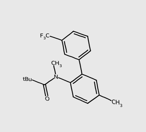 Cc1ccc(N(C)C(=O)C(C)(C)C)c(-c2cccc(C(F)(F)F)c2)c1